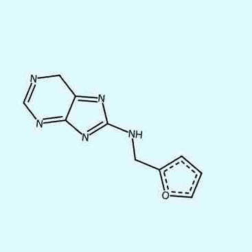 C1=NCC2=NC(NCc3ccco3)=NC2=N1